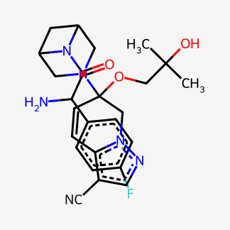 CC(C)(O)COC1(N2CC3CC(C2)N3C(=O)C(N)c2ccc(F)cc2)C=Cc2c(C#N)cnn2C1